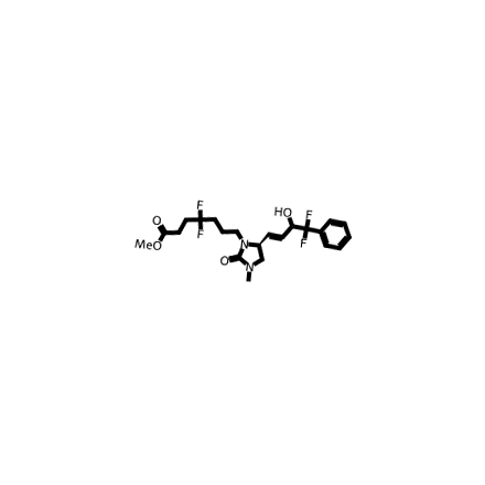 COC(=O)CCC(F)(F)CCCN1C(=O)N(C)C[C@@H]1C=CC(O)C(F)(F)c1ccccc1